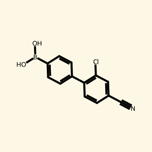 N#Cc1ccc(-c2ccc(B(O)O)cc2)c(Cl)c1